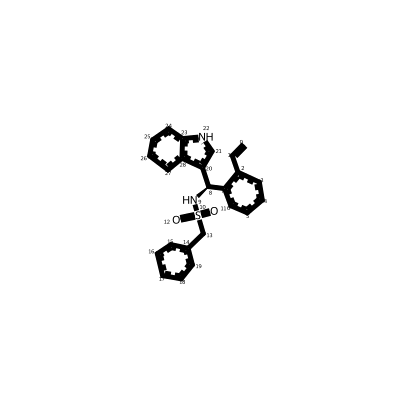 C=Cc1ccccc1[C@@H](NS(=O)(=O)Cc1ccccc1)c1c[nH]c2ccccc12